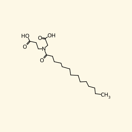 CCCCCCCCCCCCCC(=O)N(CCC(=O)O)CC(=O)O